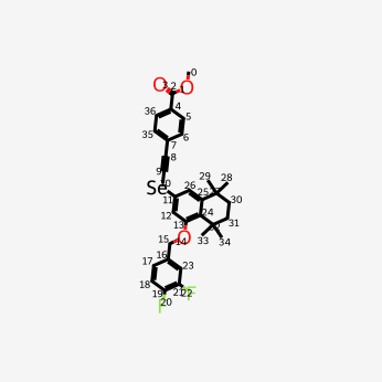 COC(=O)c1ccc(C#C[Se]c2cc(OCc3ccc(F)c(F)c3)c3c(c2)C(C)(C)CCC3(C)C)cc1